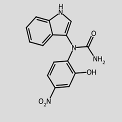 NC(=O)N(c1ccc([N+](=O)[O-])cc1O)c1c[nH]c2ccccc12